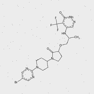 CC(COC1CCN(C2CCN(c3ncc(Br)cn3)CC2)C1=O)Nc1cn[nH]c(=O)c1C(F)(F)F